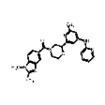 Cc1cc(Nc2ccccn2)cc(C2CN(C(=O)c3ccc4c(c3)nc(C)n4C)CCO2)n1